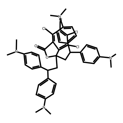 CN(C)c1ccc(C(CC2(CC(c3ccc(N(C)C)cc3)c3ccc(N(C)C)cc3)OC(=O)c3c(Cl)c(Cl)c(Cl)c(Cl)c32)c2ccc(N(C)C)cc2)cc1